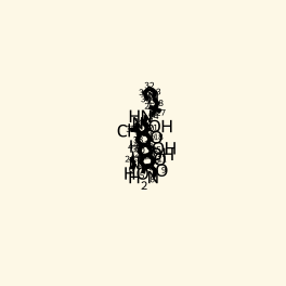 CN(C)[C@@H]1C(O)=C(C(N)=O)C(=O)[C@@]2(O)C(O)=C3C(=O)c4c(O)c(NCC(C)(C)CN5CCCC5)nc(Cl)c4C[C@H]3C[C@@H]12